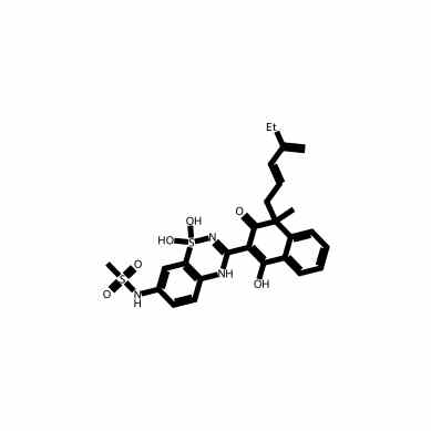 C=C(C=CCC1(C)C(=O)C(C2=NS(O)(O)c3cc(NS(C)(=O)=O)ccc3N2)=C(O)c2ccccc21)CC